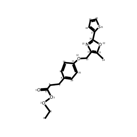 CCOOC(=O)CCc1ccc(OCc2nc(-c3cccs3)oc2C)cc1